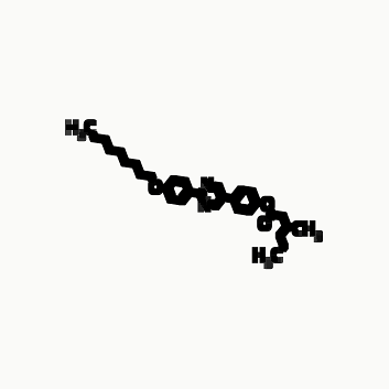 CCCCCCCCCOc1ccc(-c2ncc(-c3ccc(OC(=O)CC(C)CCC)cc3)cn2)cc1